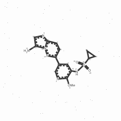 COc1ncc(-c2ccc3ncc(N)n3n2)cc1NS(=O)(=O)C1CC1